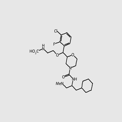 CNCC(CC1CCCCC1)NC(=O)N1CCOC(C(OCCNC(=O)O)c2cccc(Cl)c2F)C1